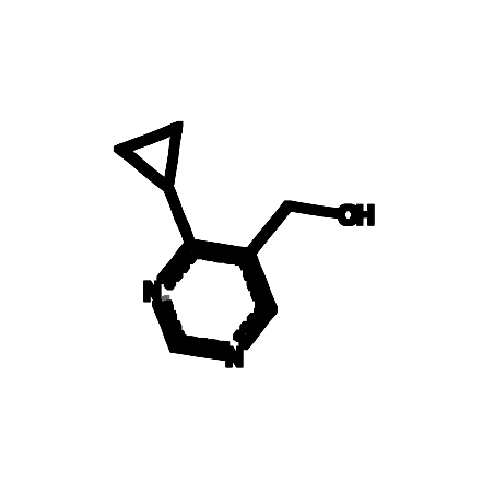 OCc1cncnc1C1CC1